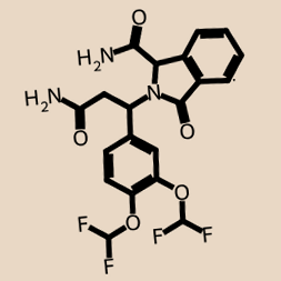 NC(=O)CC(c1ccc(OC(F)F)c(OC(F)F)c1)N1C(=O)c2[c]cccc2C1C(N)=O